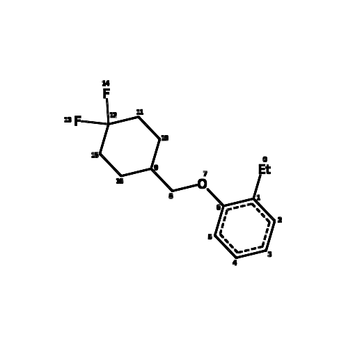 CCc1ccccc1OCC1CCC(F)(F)CC1